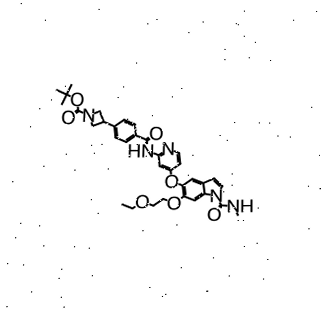 CCOCCOc1cc2c(ccn2C(=O)NC)cc1Oc1ccnc(NC(=O)c2ccc(C3CN(C(=O)OC(C)(C)C)C3)cc2)c1